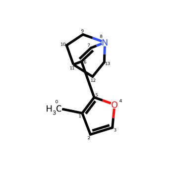 Cc1ccoc1C1=CN2CCC1CC2